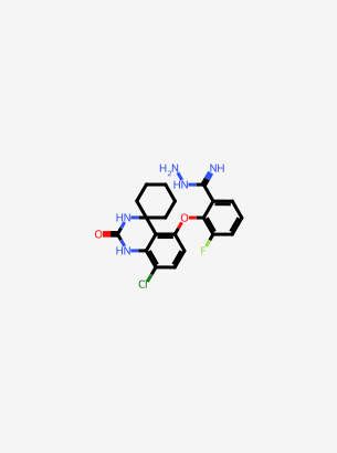 N=C(NN)c1cccc(F)c1Oc1ccc(Cl)c2c1C1(CCCCC1)NC(=O)N2